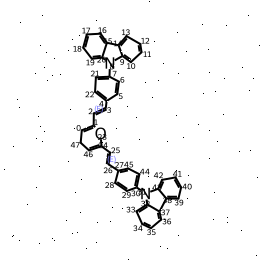 C1=C(/C=C/c2ccc(-n3c4ccccc4c4ccccc43)cc2)OC(/C=C/c2ccc(-n3c4ccccc4c4ccccc43)cc2)=CC1